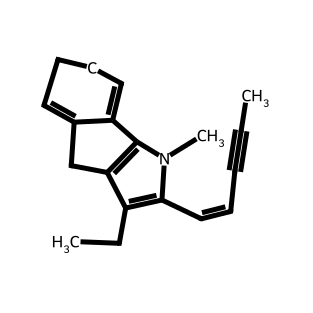 CC#C/C=C\c1c(CC)c2c(n1C)C1=CCCC=C1C2